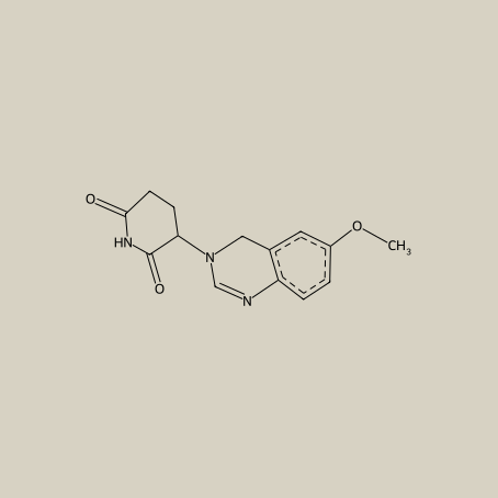 COc1ccc2c(c1)CN(C1CCC(=O)NC1=O)C=N2